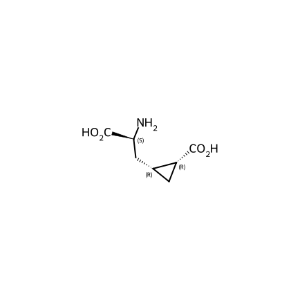 N[C@@H](C[C@H]1C[C@H]1C(=O)O)C(=O)O